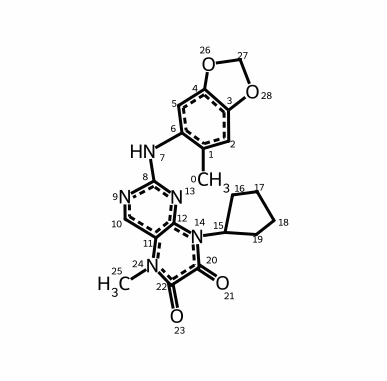 Cc1cc2c(cc1Nc1ncc3c(n1)n(C1CCCC1)c(=O)c(=O)n3C)OCO2